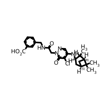 C[C@@H]1[C@H]2C[C@@H](C[C@H]1Nc1cnn(CC(=O)NCc3cccc(C(=O)O)c3)c(=O)c1Cl)C2(C)C